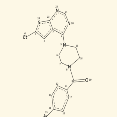 CCc1cc2c(N3CCN(C(=O)c4ccc(C(C)=O)cc4)CC3)ncnc2s1